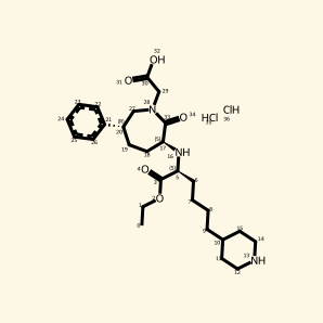 CCOC(=O)[C@H](CCCCC1CCNCC1)N[C@H]1CC[C@H](c2ccccc2)CN(CC(=O)O)C1=O.Cl.Cl